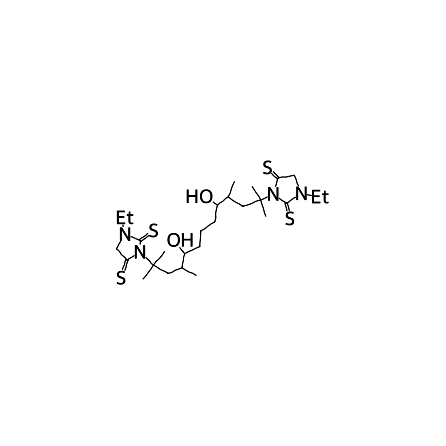 CCN1CC(=S)N(C(C)(C)CC(C)C(O)CCCC(O)C(C)CC(C)(C)N2C(=S)CN(CC)C2=S)C1=S